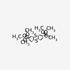 CCO[Si](OCC)(OCC)c1ccc2c(c1)Sc1cc([Si](OCC)(OCC)OCC)ccc1S2